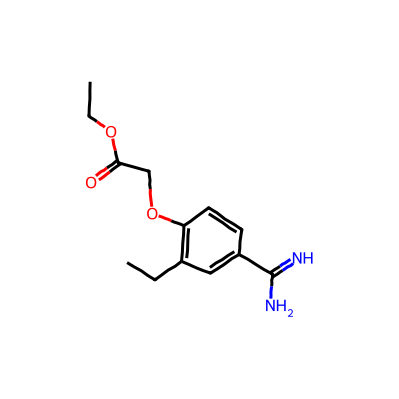 CCOC(=O)COc1ccc(C(=N)N)cc1CC